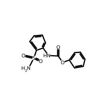 NS(=O)(=O)c1ccccc1NC(=O)Oc1ccccc1